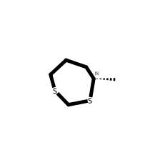 C[C@H]1CCCSCS1